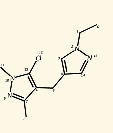 CCn1cc(Cc2c(C)nn(C)c2Cl)cn1